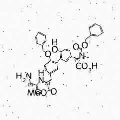 COC(=O)[C@H](Cc1ccc(OCc2ccccc2)c(-c2cc([C@@H](C(=O)O)N(C)C(=O)OCc3ccccc3)ccc2O)c1)NC(=O)[C@H](C)N